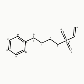 C=CS(=O)(=O)CCCNc1[c]cccc1